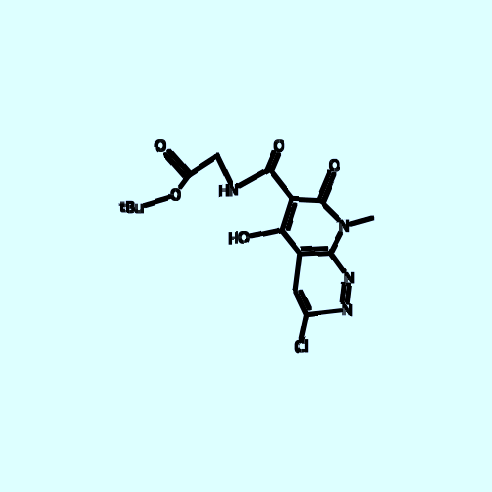 Cn1c(=O)c(C(=O)NCC(=O)OC(C)(C)C)c(O)c2cc(Cl)nnc21